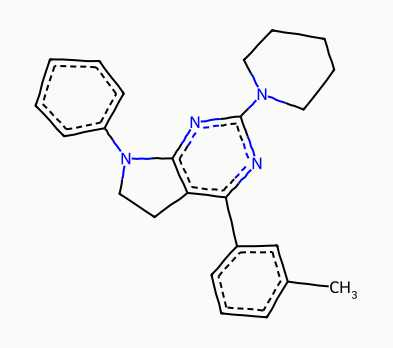 Cc1cccc(-c2nc(N3CCCCC3)nc3c2CCN3c2ccccc2)c1